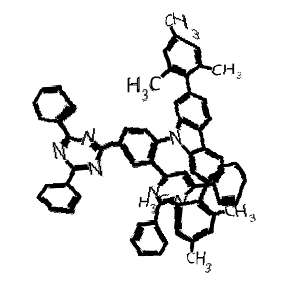 Cc1cc(C)c(-c2ccc3c4ccc(-c5c(C)cc(C)cc5C)cc4n(-c4ccc(-c5nc(-c6ccccc6)nc(-c6ccccc6)n5)cc4-c4cc(-c5ccccc5)nc(-c5ccccc5)n4)c3c2)c(C)c1